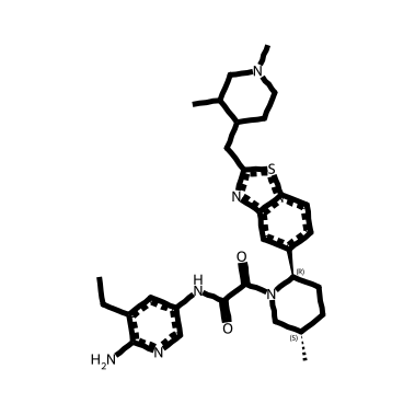 CCc1cc(NC(=O)C(=O)N2C[C@@H](C)CC[C@@H]2c2ccc3sc(CC4CCN(C)CC4C)nc3c2)cnc1N